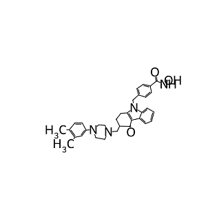 Cc1ccc(N2CCN(CC3CCc4c(c5ccccc5n4Cc4ccc(C(=O)NO)cc4)C3=O)CC2)cc1C